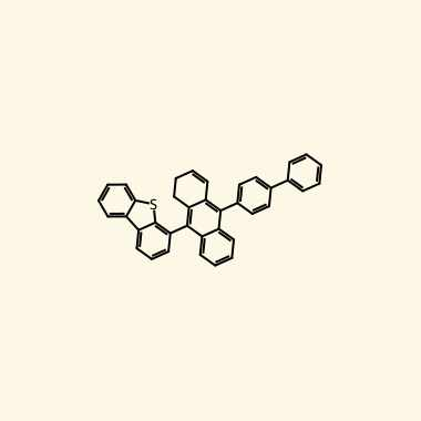 C1=Cc2c(c(-c3cccc4c3sc3ccccc34)c3ccccc3c2-c2ccc(-c3ccccc3)cc2)CC1